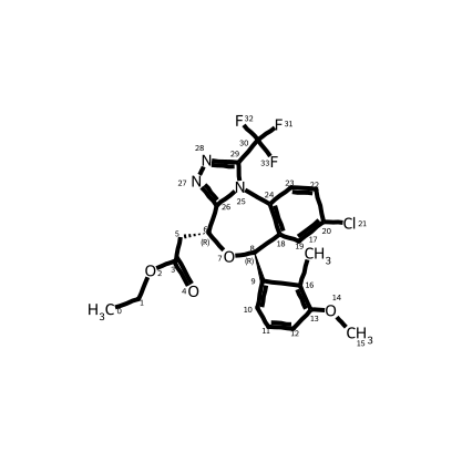 CCOC(=O)C[C@H]1O[C@H](c2cccc(OC)c2C)c2cc(Cl)ccc2-n2c1nnc2C(F)(F)F